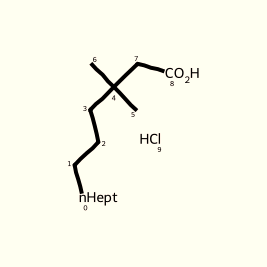 CCCCCCCCCCC(C)(C)CC(=O)O.Cl